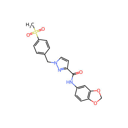 CS(=O)(=O)c1ccc(Cn2ccc(C(=O)Nc3ccc4c(c3)OCO4)n2)cc1